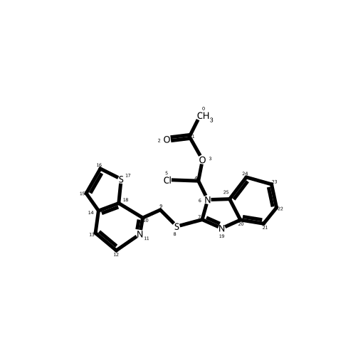 CC(=O)OC(Cl)n1c(SCc2nccc3ccsc23)nc2ccccc21